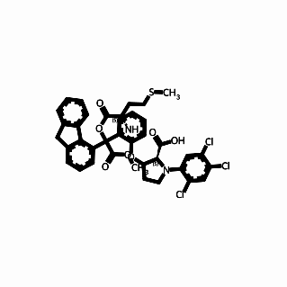 COC(=O)C(OC(=O)[C@@H](N)CCSC)(c1ccccc1OC1CCN(c2cc(Cl)c(Cl)cc2Cl)[C@@H]1C(=O)O)c1cccc2c1-c1ccccc1C2